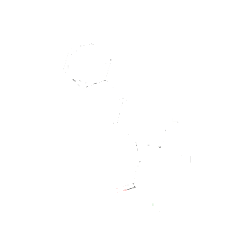 CC1(C)C(/C=C/c2ccccc2)C1C(=O)Cl